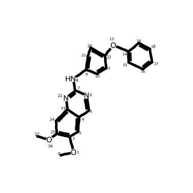 COc1cc2cnc(Nc3ccc(Oc4ccccc4)cc3)nc2cc1OC